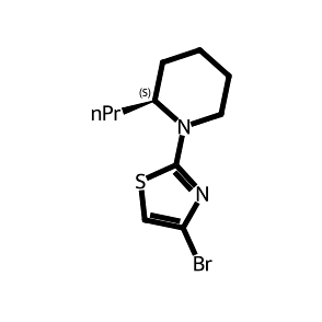 CCC[C@H]1CCCCN1c1nc(Br)cs1